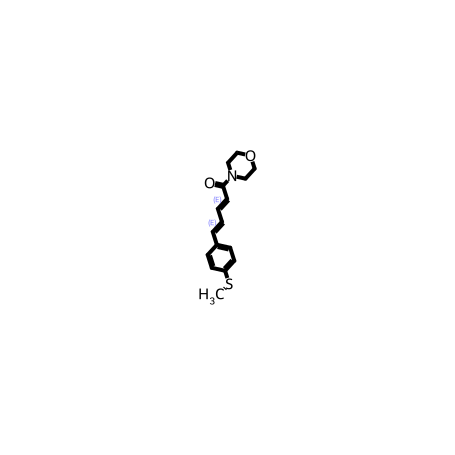 CSc1ccc(/C=C/C=C/C(=O)N2CCOCC2)cc1